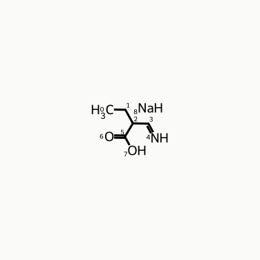 CCC(C=N)C(=O)O.[NaH]